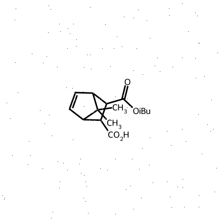 CC(C)COC(=O)C1C(C(=O)O)C2C=CC1C2(C)C